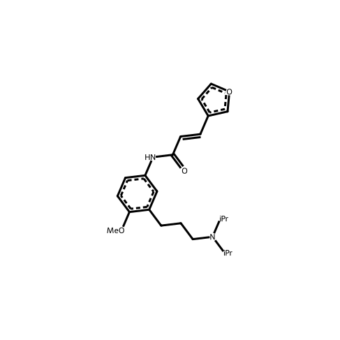 COc1ccc(NC(=O)C=Cc2ccoc2)cc1CCCN(C(C)C)C(C)C